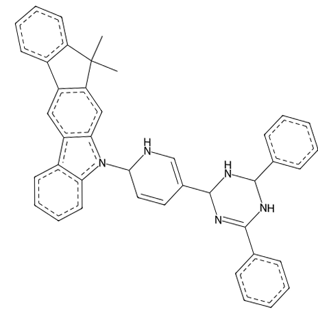 CC1(C)c2ccccc2-c2cc3c4ccccc4n(C4C=CC(C5N=C(c6ccccc6)NC(c6ccccc6)N5)=CN4)c3cc21